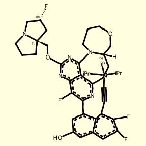 CC(C)[Si](C#Cc1c(F)c(F)cc2cc(O)cc(-c3nc4c5c(nc(OC[C@@]67CCCN6C[C@H](F)C7)nc5c3F)N3CCCOC[C@@H]3CC4)c12)(C(C)C)C(C)C